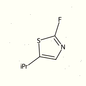 CC(C)c1cnc(F)s1